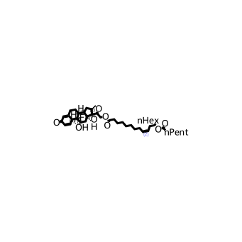 CCCCCCC(C/C=C\CCCCCCCC(=O)OCC(=O)[C@@]1(O)[C@H](C)C[C@H]2[C@@H]3CCC4=CC(=O)C=C[C@]4(C)[C@@]3(F)[C@@H](O)C[C@@]21C)OC(=O)CCCCC